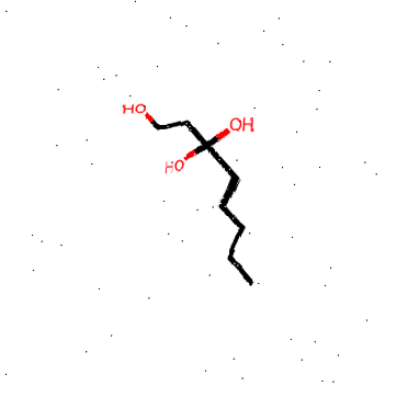 CCCCCC(O)(O)CCO